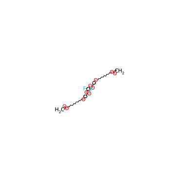 C=CC(=O)OCCCCCCCCCCCOc1ccc(C(=O)Oc2cc(F)c(OC(=O)c3ccc(OCCCCCCCCCCCOC(=O)C=C)cc3)c(F)c2F)cc1